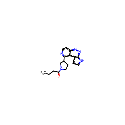 O=C(CCC(F)(F)F)N1CCC(c2nccc3nnc4[nH]ccc4c23)C1